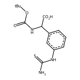 CC(C)(C)OC(=O)NC(C(=O)O)c1cccc(NC(N)=S)c1